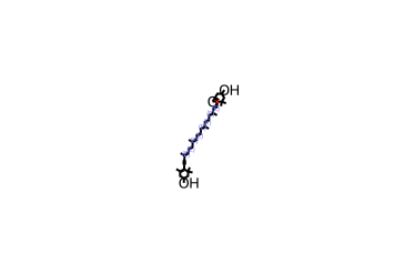 CC1=C(C#C/C(C)=C/C=C/C(C)=C/C=C/C=C(C)/C=C/C=C(C)/C=C/C23OC2(C)CC(O)CC3(C)C)C(C)(C)CC(O)C1